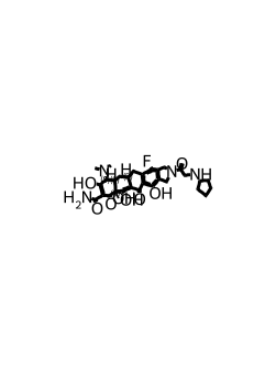 CN(C)[C@@H]1C(O)=C(C(N)=O)C(=O)[C@@]2(O)C(O)=C3C(=O)c4c(O)c5c(c(F)c4C[C@H]3C[C@@H]12)CN(C(=O)CNC1CCCC1)C5